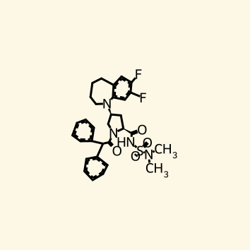 CN(C)S(=O)(=O)NC(=O)[C@@H]1C[C@H](N2CCCCc3cc(F)c(F)cc32)CN1C(=O)C(c1ccccc1)c1ccccc1